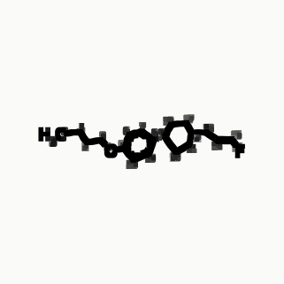 CCCCOc1ccc([C@H]2CC[C@H](C/C=C/F)CC2)cc1